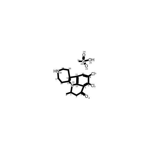 CC1CC(=O)c2c(Cl)c(Cl)cc3c4c(n1c23)CCNCC4.CS(=O)(=O)O